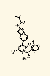 Cc1cc(-c2ccn3nc(NC(=O)C4CC4)cc3c2)c(O[C@H]2[C@@H]3CN(C(=O)OC(C)(C)C)[C@H]2CO3)cn1